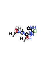 COc1cc(N2CCC(N3CC(C)OC(C)C3)CC2)ccc1Nc1ncc(Cl)c(-c2c[nH]c3ccccc23)n1